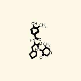 Cc1cc(C(=O)NC(CC2CCCC2)C(=O)NC2C(=O)COCC2C)ccc1O